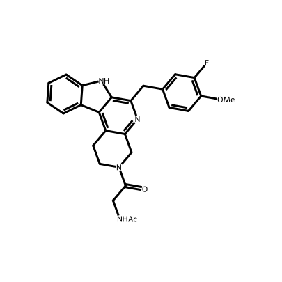 COc1ccc(Cc2nc3c(c4c2[nH]c2ccccc24)CCN(C(=O)CNC(C)=O)C3)cc1F